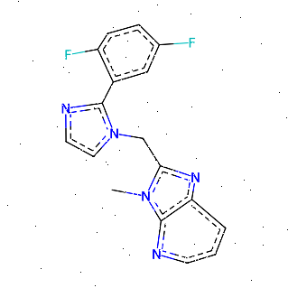 Cn1c(Cn2ccnc2-c2cc(F)ccc2F)nc2cccnc21